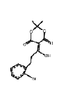 CC1(C)OC(=O)C(=C(O)CCc2ccccc2Br)C(=O)O1